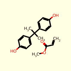 C=CC(=O)OC.CC(C)(c1ccc(O)cc1)c1ccc(O)cc1